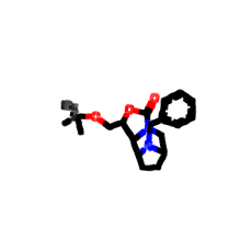 CC(C)(C)[Si](C)(C)OCC1OC(=O)N2CC3CCC(C12)N3Cc1ccccc1